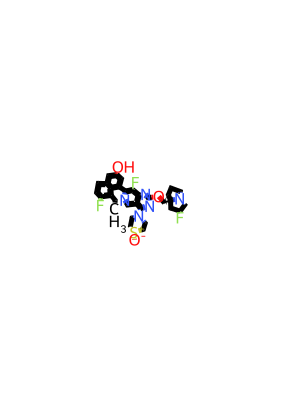 CCc1c(F)ccc2cc(O)cc(-c3ncc4c(N5CC[S+]([O-])CC5)nc(OC[C@@]56CCCN5CC(F)C6)nc4c3F)c12